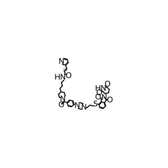 O=C(/C=C/c1cccnc1)NCCCCC1CCN(C(=O)c2ccc(N3CCN(CCCSc4cccc5c4C(=O)N(C4CCC(=O)NC4=O)C5=O)CC3)cc2)CC1